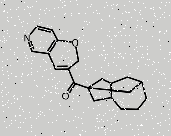 O=C(C1=Cc2cnccc2OC1)C12CC3CCCC(C1)C(C3)C2